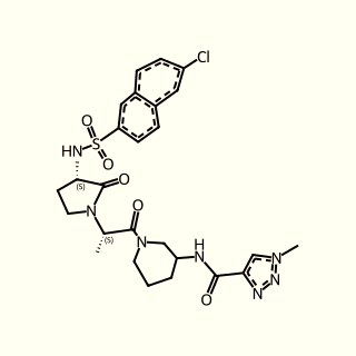 C[C@@H](C(=O)N1CCCC(NC(=O)c2cn(C)nn2)C1)N1CC[C@H](NS(=O)(=O)c2ccc3cc(Cl)ccc3c2)C1=O